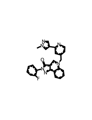 Cn1cc(-c2cc(Cn3cc4c(=O)n(-c5ccccc5F)nc-4c4ccccc43)ccn2)cn1